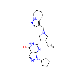 C[C@@H]1CN(Cc2cnn3c2CCCC3)C[C@H]1c1nc2c(cnn2C2CCCC2)c(=O)[nH]1